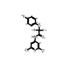 O=C(Nc1cc(Cl)nc(Cl)c1)C(F)(F)Oc1ccc(F)cc1